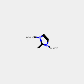 [CH]C1N(CCCCC)C=CN1CCCCC